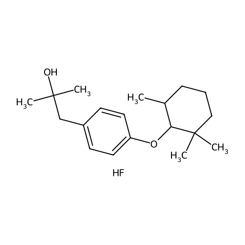 CC1CCCC(C)(C)C1Oc1ccc(CC(C)(C)O)cc1.F